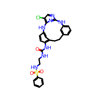 O=C(NCCNS(=O)(=O)c1ccccc1)Nc1ccc2cc1CCc1cccc(c1)Nc1ncc(Cl)c(n1)N2